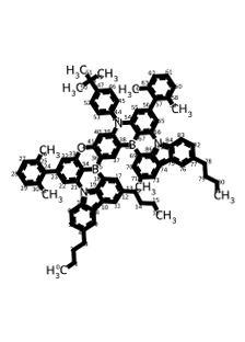 CCCCc1ccc2c(c1)c1cc(CCCC)cc3c1n2-c1cc(-c2c(C)cccc2C)cc2c1B3c1cc3c(cc1O2)N(c1ccc(C(C)(C)C)cc1)c1cc(-c2c(C)cccc2C)cc2c1B3c1cc(C)cc3c4cc(CCCC)ccc4n-2c13